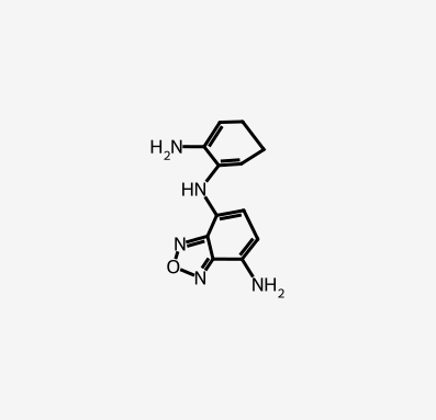 NC1=CCCC=C1Nc1ccc(N)c2nonc12